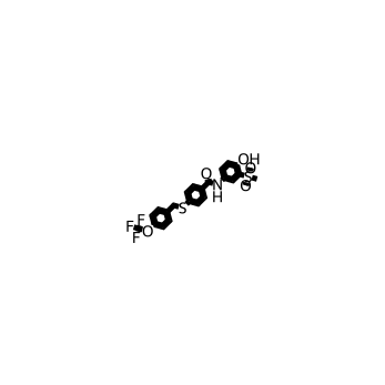 CS(=O)(=O)c1cc(NC(=O)c2ccc(SCc3ccc(OC(F)(F)F)cc3)cc2)ccc1O